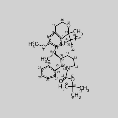 COc1cc2c(cc1N(C)[C@H]1CCCN(C(=O)OC(C)(C)C)[C@H]1c1ccccc1)C(C)(C(F)(F)F)OCC2